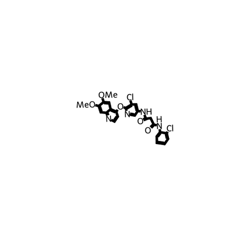 COc1cc2nccc(Oc3ncc(NC(=O)CC(=O)Nc4ccccc4Cl)cc3Cl)c2cc1OC